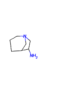 NC1CN2CCCC1C2